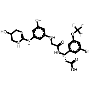 O=C(O)C[C@H](NC(=O)CNc1cc(O)cc(NC2=NCC(O)CN2)c1)c1cc(Br)cc(OC(F)(F)F)c1